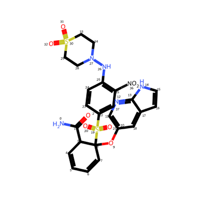 NC(=O)C1C=CC=CC1(Oc1cnc2[nH]ccc2c1)S(=O)(=O)c1ccc(NN2CCS(=O)(=O)CC2)c([N+](=O)[O-])c1